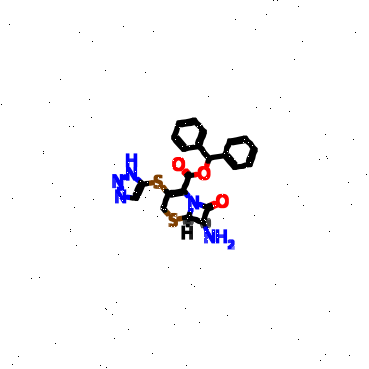 N[C@@H]1C(=O)N2C(C(=O)OC(c3ccccc3)c3ccccc3)=C(Sc3cnn[nH]3)CS[C@H]12